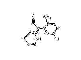 Cc1cnc(Cl)nc1/C(C#N)=C1/C=CC=CN1